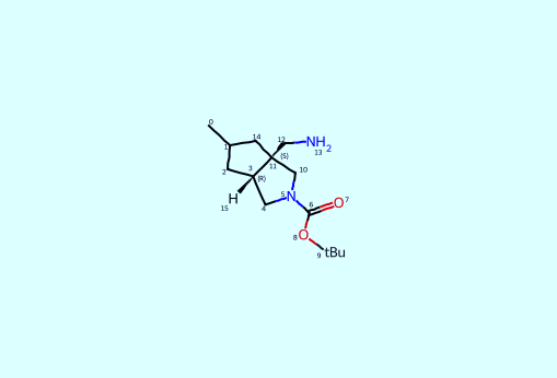 CC1C[C@H]2CN(C(=O)OC(C)(C)C)C[C@@]2(CN)C1